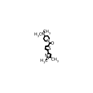 Cc1cc(-c2ccc(C(=O)N3CCC(N(C)C)CC3)s2)nn1C